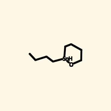 CCC[CH2][SnH]1[CH2]CCC[O]1